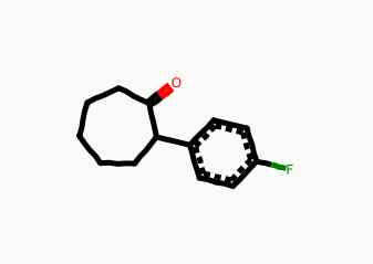 O=C1CCCCCC1c1ccc(F)cc1